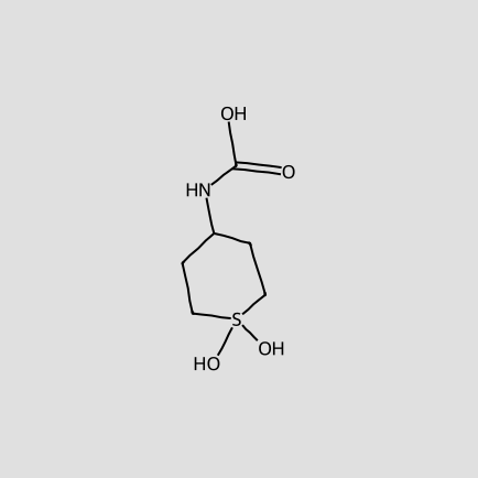 O=C(O)NC1CCS(O)(O)CC1